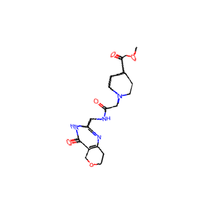 COC(=O)C1CCN(CC(=O)NCc2nc3c(c(=O)[nH]2)COCC3)CC1